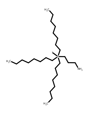 CCCCCCCCP(I)(CCCN)(CCCCCCCC)CCCCCCCC